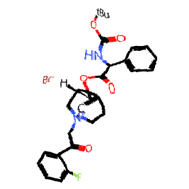 CC(C)(C)OC(=O)NC(C(=O)O[C@H]1C[N+]2(CC(=O)c3ccccc3F)CCC1CC2)c1ccccc1.[Br-]